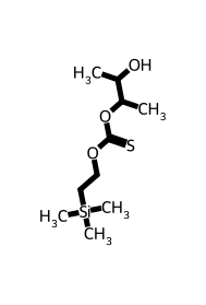 CC(O)C(C)OC(=S)OCC[Si](C)(C)C